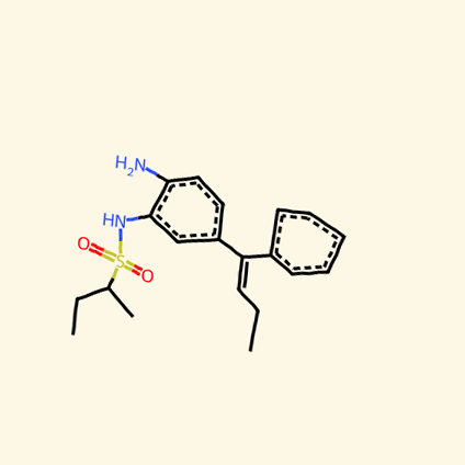 CC/C=C(\c1ccccc1)c1ccc(N)c(NS(=O)(=O)C(C)CC)c1